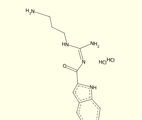 Cl.Cl.NCCCNC(N)=NC(=O)c1cc2ccccc2[nH]1